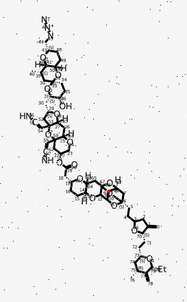 C=C1CC(CC[C@]23C[C@H]4CC(O2)C2O[C@H]5CC[C@H](CC(=O)O[C@H]6CO[C@H]7C[C@H]8O[C@@H](C[C@@H]9O[C@@]%10(CC[C@@H]9O)C[C@H](C)[C@@H]9O[C@H](CN=[N+]=[N-])CC[C@@H]9O%10)CC8(C=C=N)OC7(C=C=N)C6)O[C@@H]5C(O3)C2O4)O[C@H]1CC[C@H]1C[C@@H](C)C(=C)[C@@H](CC)O1